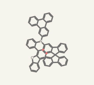 c1ccc(N(c2ccc3c(c2)-c2ccccc2C32c3ccccc3-c3ccccc32)c2ccc3c4ccccc4c4ccccc4c3c2)c(-c2cccc3c2oc2ccccc23)c1